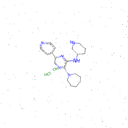 Cl.Cl.c1cc(-c2cnc(N3CCCCCC3)c(NC3CCCNC3)n2)ccn1